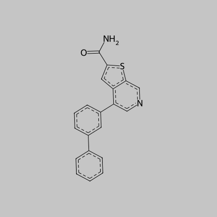 NC(=O)c1cc2c(-c3cccc(-c4ccccc4)c3)cncc2s1